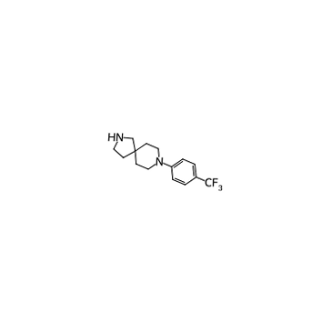 FC(F)(F)c1ccc(N2CCC3(CCNC3)CC2)cc1